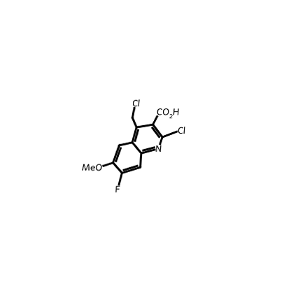 COc1cc2c(CCl)c(C(=O)O)c(Cl)nc2cc1F